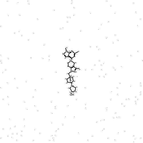 Cc1cc(N2CCc3c(c(C)nn3CC34CCC(N5CC[C@H](O)C5)(CC3)CC4)C2)c2cnn(C)c2n1